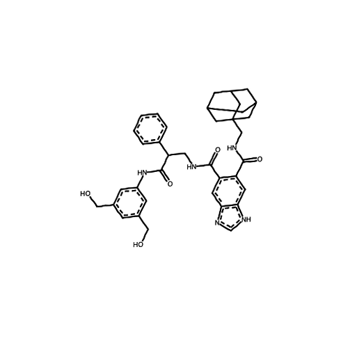 O=C(NCC(C(=O)Nc1cc(CO)cc(CO)c1)c1ccccc1)c1cc2nc[nH]c2cc1C(=O)NCC12CC3CC(CC(C3)C1)C2